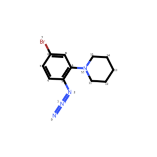 [N-]=[N+]=Nc1ccc(Br)cc1N1CCCCC1